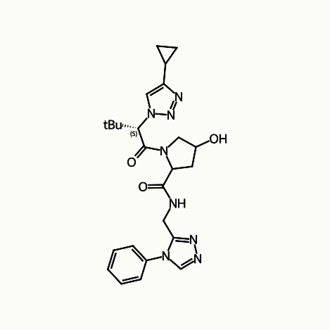 CC(C)(C)[C@@H](C(=O)N1CC(O)CC1C(=O)NCc1nncn1-c1ccccc1)n1cc(C2CC2)nn1